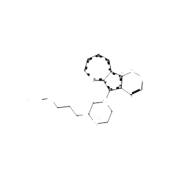 COCCC[C@H]1CN(c2c3nccccc-3c3c2C=CSN3)CCN1